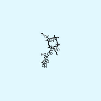 CCCCOC(C)c1c(C)c2cc3nc(c4c5[nH]c(cc6nc(cc1[nH]2)C(C)=C6CC)c(C)c5C(=O)N(CCCC)C4=O)C(CCC(=O)OCC1OC(n2cc(C)c(=O)[nH]c2=O)CC1O)C3C